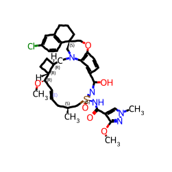 COc1nn(C)cc1C(=O)N[S@]1(=O)=NC(O)c2ccc3c(c2)N(C[C@@H]2CC[C@H]2[C@@H](OC)/C=C/C[C@H](C)C1)C[C@@]1(CCCc2cc(Cl)ccc21)CO3